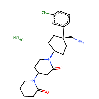 Cl.Cl.NC[C@]1(c2cccc(Cl)c2)CC[C@H](N2CCC(N3CCCCC3=O)CC2=O)CC1